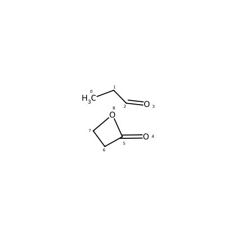 CCC=O.O=C1CCO1